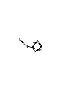 [N-]=[N+]=Nc1nncnn1